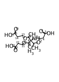 CC(OCCC(=O)O)C(N)(C(C)OCCC(=O)O)C(C)OCCC(=O)O